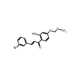 COCOc1ccc(C(=O)/C=C/c2cccc(Br)c2)c(O)c1